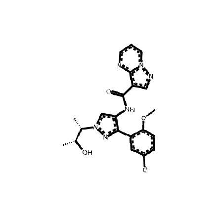 COc1ccc(Cl)cc1-c1nn([C@@H](C)[C@@H](C)O)cc1NC(=O)c1cnn2cccnc12